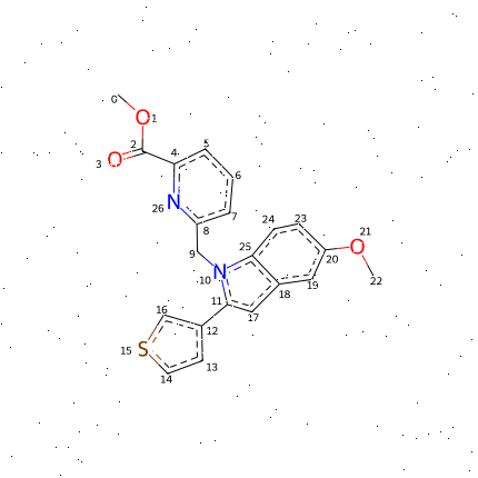 COC(=O)c1cccc(Cn2c(-c3ccsc3)cc3cc(OC)ccc32)n1